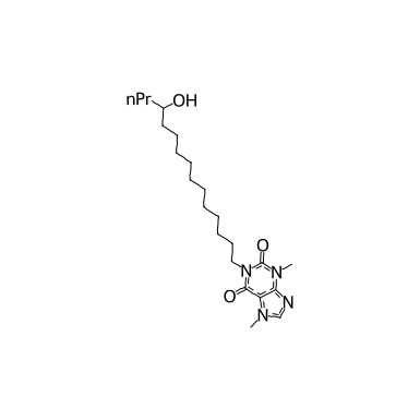 CCCC(O)CCCCCCCCCCCn1c(=O)c2c(ncn2C)n(C)c1=O